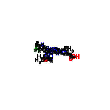 COCC1(CN(C)c2cc(-c3cnc(C4CC4)c(C(F)(F)F)c3)nc3nc(-c4cnc(N5CCN(CCCC(=O)O)[C@@H](C)C5)cn4)[nH]c23)CCC1